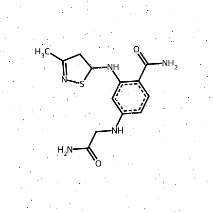 CC1=NSC(Nc2cc(NCC(N)=O)ccc2C(N)=O)C1